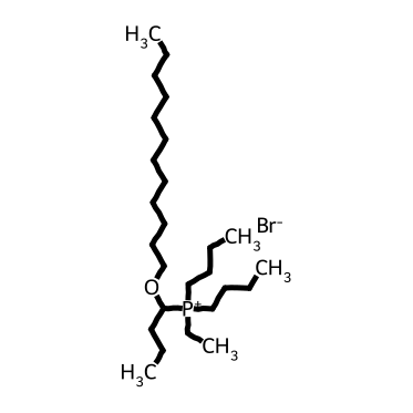 CCCCCCCCCCCCOC(CCC)[P+](CC)(CCCC)CCCC.[Br-]